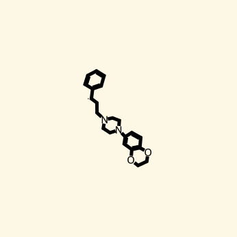 [CH](CCN1CCN(c2ccc3c(c2)OCCO3)CC1)c1ccccc1